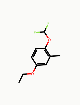 [CH2]c1cc(OCC)ccc1OC(F)F